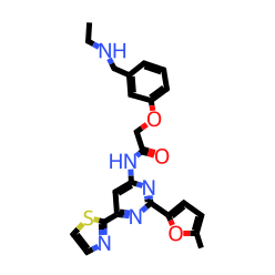 CCNCc1cccc(OCC(=O)Nc2cc(-c3nccs3)nc(-c3ccc(C)o3)n2)c1